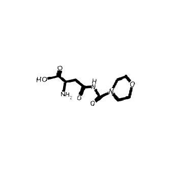 NC(CC(=O)NC(=O)N1CCOCC1)C(=O)O